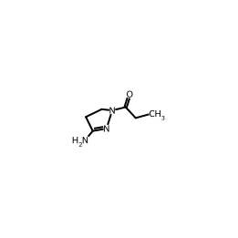 CCC(=O)N1CCC(N)=N1